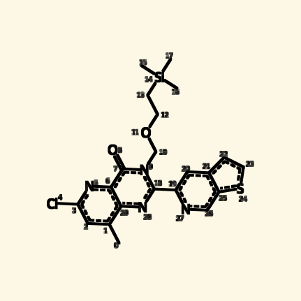 Cc1cc(Cl)nc2c(=O)n(COCC[Si](C)(C)C)c(-c3cc4ccsc4cn3)nc12